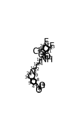 O=[N+]([O-])c1ccc2c(c1)CN(CCCCCNS(=O)(=O)c1cc(F)c(F)cc1Cl)CC2